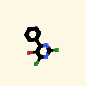 Clc1nc(Cl)c(Br)c(-c2ccccc2)n1